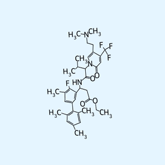 CCOC(=O)CC(NC(=O)C(C(C)C)n1cc(CCN(C)C)c(C(F)(F)F)cc1=O)c1cc(-c2c(C)cc(C)cc2C)cc(C)c1F